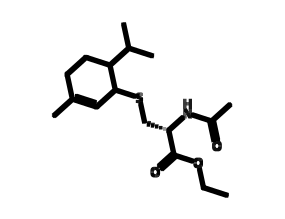 CCOC(=O)[C@H](CSC1C=C(C)CCC1C(C)C)NC(C)=O